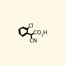 N#CC(C(=O)O)c1ccccc1Cl